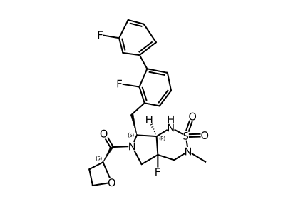 CN1CC2(F)CN(C(=O)[C@@H]3CCO3)[C@@H](Cc3cccc(-c4cccc(F)c4)c3F)[C@H]2NS1(=O)=O